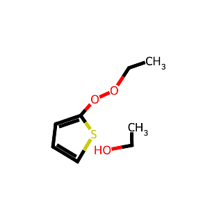 CCO.CCOOc1cccs1